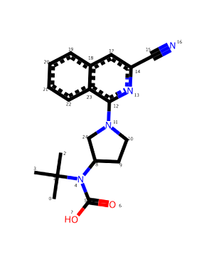 CC(C)(C)N(C(=O)O)C1CCN(c2nc(C#N)cc3ccccc23)C1